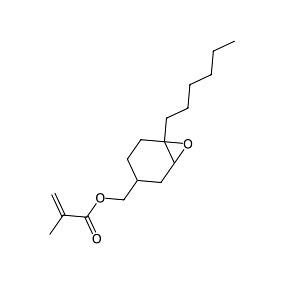 C=C(C)C(=O)OCC1CCC2(CCCCCC)OC2C1